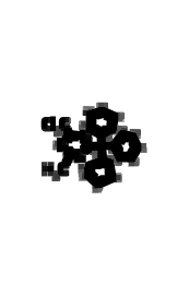 Cc1nc(C(Cl)(Cl)Cl)nc(C(c2ccccc2)(c2ccccc2)c2ccccc2)n1